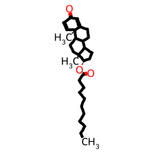 CCCCCCCCCCC(=O)O[C@H]1CCC2C3CCC4=CC(=O)C=C[C@]4(C)C3CC[C@@]21C